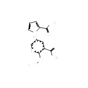 COc1ncc([SH]2C=CC=C2C(=O)O)cc1C(=O)O